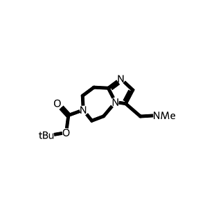 CNCc1cnc2n1CCN(C(=O)OC(C)(C)C)CC2